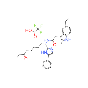 CCC(=O)CCCCC[C@H](NC(=O)Cc1c(C)[nH]c2ccc(CC)cc12)c1ncc(-c2ccccc2)[nH]1.O=C(O)C(F)(F)F